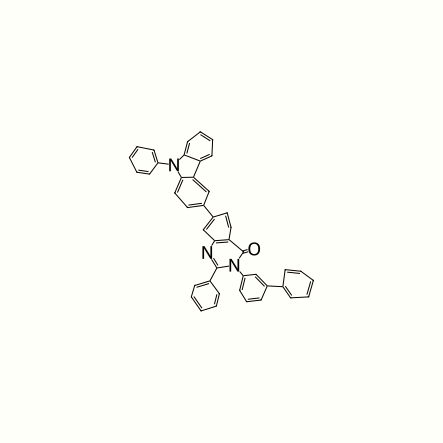 O=c1c2ccc(-c3ccc4c(c3)c3ccccc3n4-c3ccccc3)cc2nc(-c2ccccc2)n1-c1cccc(-c2ccccc2)c1